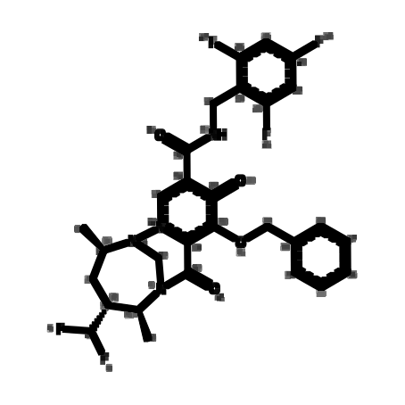 C[C@@H]1C[C@@H](C(F)F)[C@H](C)N2CN1n1cc(C(=O)NCc3c(F)cc(F)cc3F)c(=O)c(OCc3ccccc3)c1C2=O